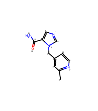 Cc1cc(Cn2cncc2C(N)=O)ccn1